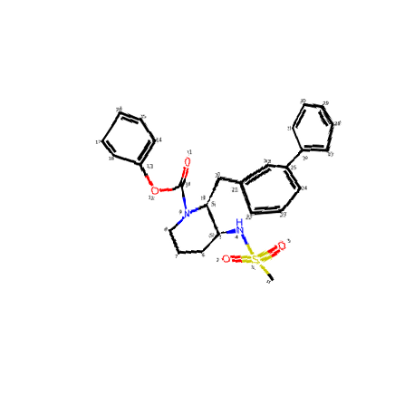 CS(=O)(=O)N[C@H]1CCCN(C(=O)Oc2ccccc2)[C@H]1Cc1cccc(-c2ccccc2)c1